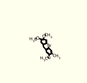 COc1cc(Cc2ccc(OC)c(OC)c2)c(Br)cc1C